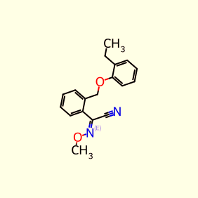 CCc1ccccc1OCc1ccccc1/C(C#N)=N\OC